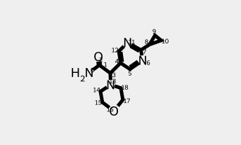 NC(=O)C(c1cnc(C2CC2)nc1)N1CCOCC1